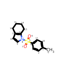 Cc1ccc(S(=O)(=O)n2ccc3c2CCCC3)cc1